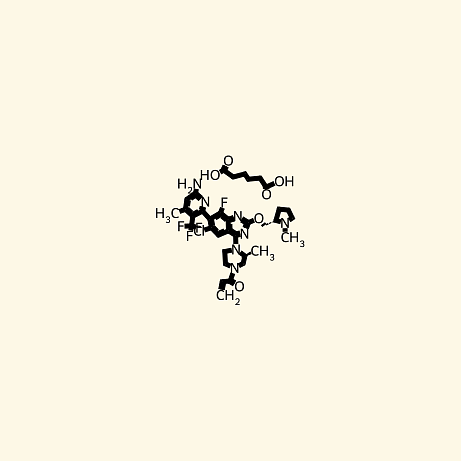 C=CC(=O)N1CCN(c2nc(OC[C@@H]3CCCN3C)nc3c(F)c(-c4nc(N)cc(C)c4C(F)(F)F)c(Cl)cc23)[C@@H](C)C1.O=C(O)CCCCC(=O)O